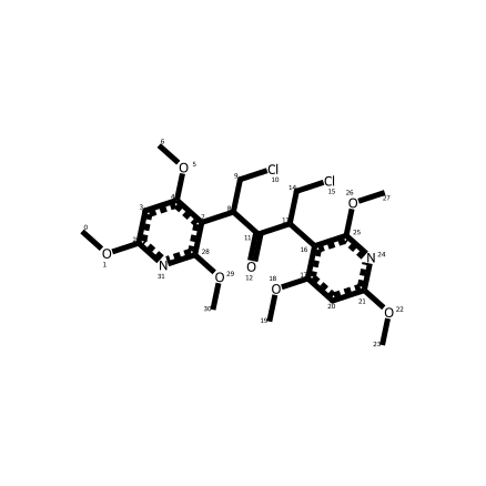 COc1cc(OC)c(C(CCl)C(=O)C(CCl)c2c(OC)cc(OC)nc2OC)c(OC)n1